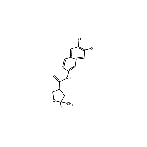 CC1(C)CC(C(=O)Nc2cc3cc(Br)c(Cl)cc3cn2)CO1